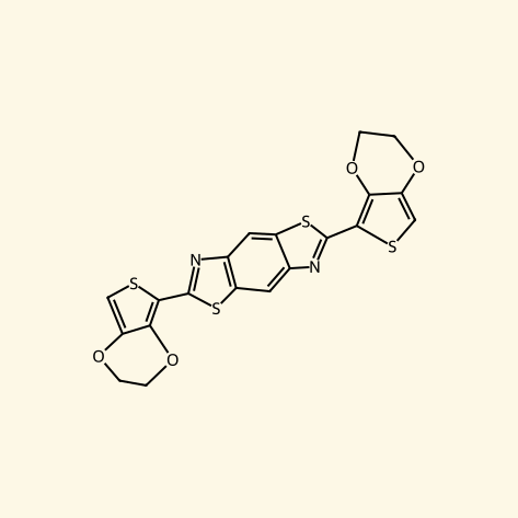 c1sc(-c2nc3cc4sc(-c5scc6c5OCCO6)nc4cc3s2)c2c1OCCO2